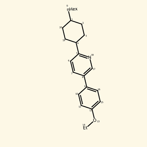 CCCCCCC1CCC(c2ccc(-c3ccc(OCC)cc3)cn2)CC1